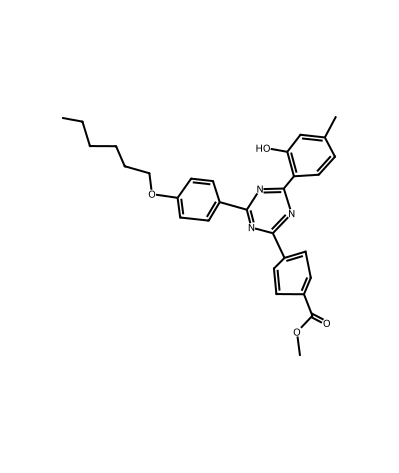 CCCCCCOc1ccc(-c2nc(-c3ccc(C(=O)OC)cc3)nc(-c3ccc(C)cc3O)n2)cc1